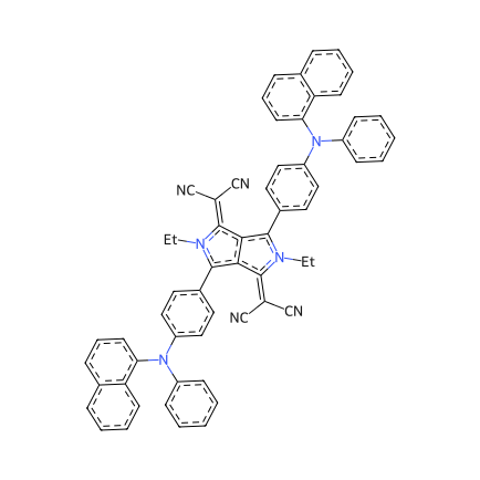 CCn1c(-c2ccc(N(c3ccccc3)c3cccc4ccccc34)cc2)c2c(=C(C#N)C#N)n(CC)c(-c3ccc(N(c4ccccc4)c4cccc5ccccc45)cc3)c2c1=C(C#N)C#N